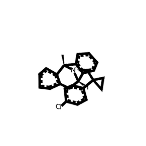 C[C@@]12c3ccccc3C[C@@H](c3ccccc31)[N@@+]2(C)CC1(c2ccc(Cl)cc2)CC1